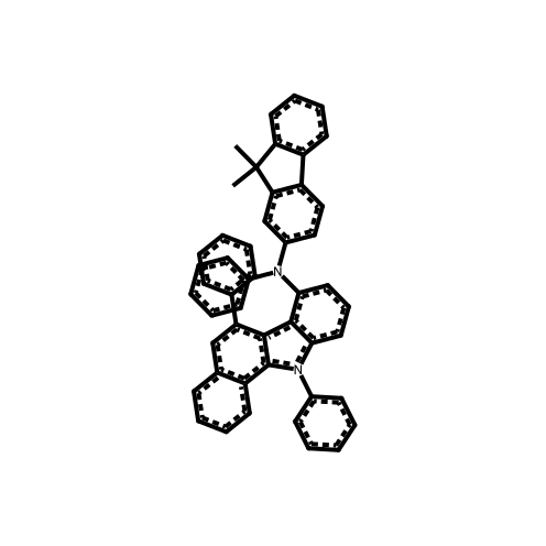 CC1(C)c2ccccc2-c2ccc(N(c3ccccc3)c3cccc4c3c3c(-c5ccccc5)cc5ccccc5c3n4-c3ccccc3)cc21